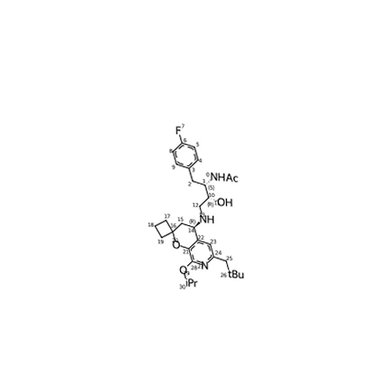 CC(=O)N[C@@H](Cc1ccc(F)cc1)[C@H](O)CN[C@@H]1CC2(CCC2)Oc2c1cc(CC(C)(C)C)nc2OC(C)C